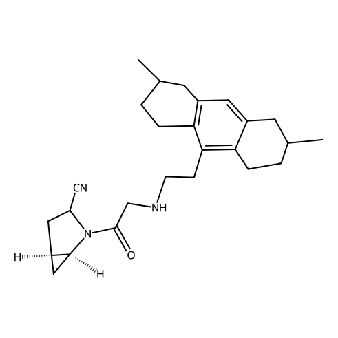 CC1CCc2c(cc3c(c2CCNCC(=O)N2C(C#N)C[C@@H]4C[C@@H]42)CCC(C)C3)C1